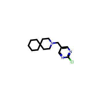 Clc1ncc(CN2CCC3(CCCCC3)CC2)cn1